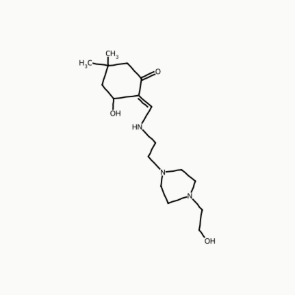 CC1(C)CC(=O)/C(=C/NCCN2CCN(CCO)CC2)C(O)C1